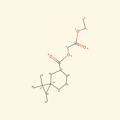 CCOC(=O)COC(=O)C1CCCC2(C1)C(C)C2(C)C